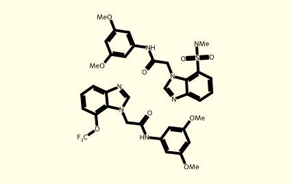 CNS(=O)(=O)c1cccc2ncn(CC(=O)Nc3cc(OC)cc(OC)c3)c12.COc1cc(NC(=O)Cn2cnc3cccc(OC(F)(F)F)c32)cc(OC)c1